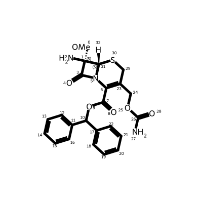 CO[C@@]1(N)C(=O)N2C(C(=O)OC(c3ccccc3)c3ccccc3)=C(COC(N)=O)CS[C@H]21